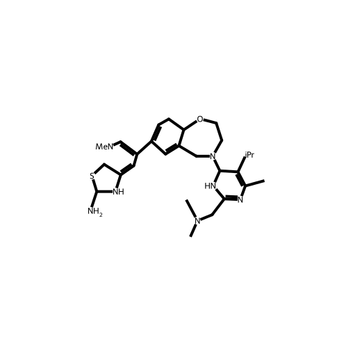 CN/C=C(\C=C1/CSC(N)N1)C1=CCC2OCCN(C3NC(CN(C)C)=NC(C)=C3C(C)C)CC2=C1